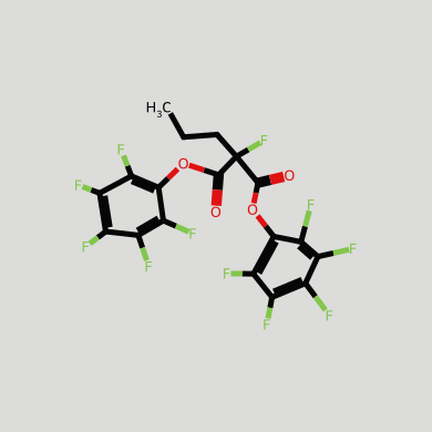 CCCC(F)(C(=O)Oc1c(F)c(F)c(F)c(F)c1F)C(=O)Oc1c(F)c(F)c(F)c(F)c1F